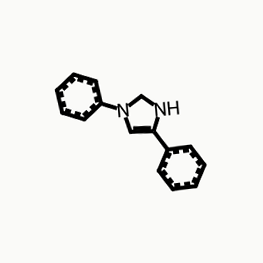 C1=C(c2ccccc2)NCN1c1ccccc1